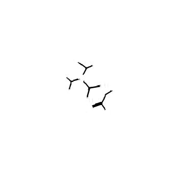 C=C(C)[CH2][Pd+].CC(C)P(C(C)C)C(C)C.[Cl-]